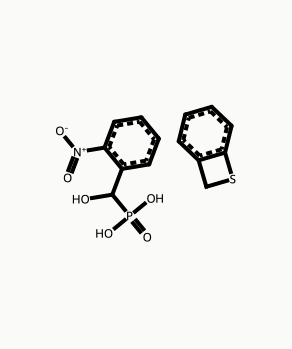 O=[N+]([O-])c1ccccc1C(O)P(=O)(O)O.c1ccc2c(c1)CS2